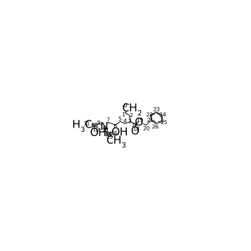 C=CCC(CCCCN(C[C@@H](C)O)C[C@@H](C)O)C(=O)OCc1ccccc1